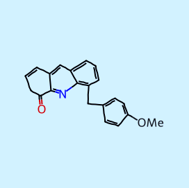 COc1ccc(Cc2cccc3cc4c(nc23)C(=O)CC=C4)cc1